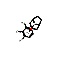 Cc1c(N2C3CCC2CC(O)C3)ccc(C#N)c1Cl